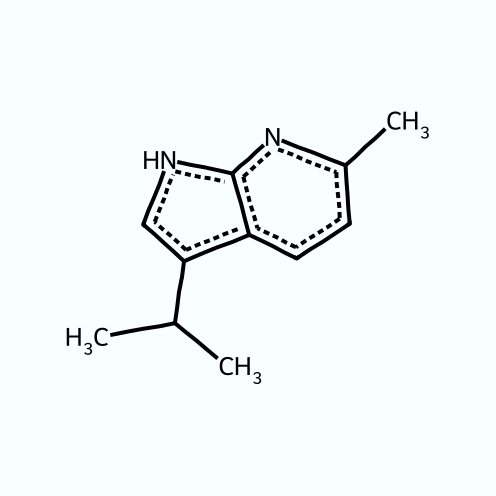 Cc1ccc2c(C(C)C)c[nH]c2n1